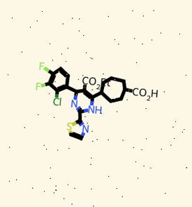 CCOC(=O)C1=C(C2CCCC(C(=O)O)CC2)NC(c2nccs2)=NC1c1ccc(F)c(F)c1Cl